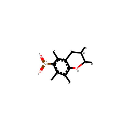 Cc1c(C)c([SH](=O)=O)c(C)c2c1OC(C)C(C)C2